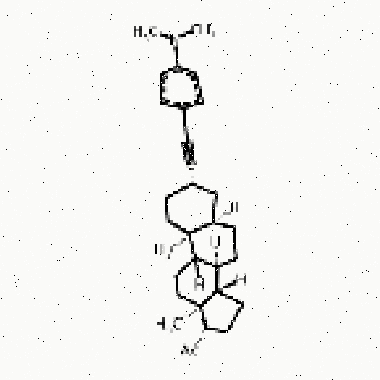 CC(=O)[C@H]1CC[C@H]2[C@@H]3CC[C@@H]4C[C@@H](C#Cc5ccc(N(C)C)cc5)CC[C@]4(C)[C@H]3CC[C@]12C